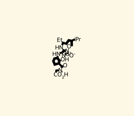 CC[C@@H](Nc1n[s+]([O-])nc1Nc1cccc(C(=O)N(C)CC(=O)O)c1O)c1cc(C(C)C)co1